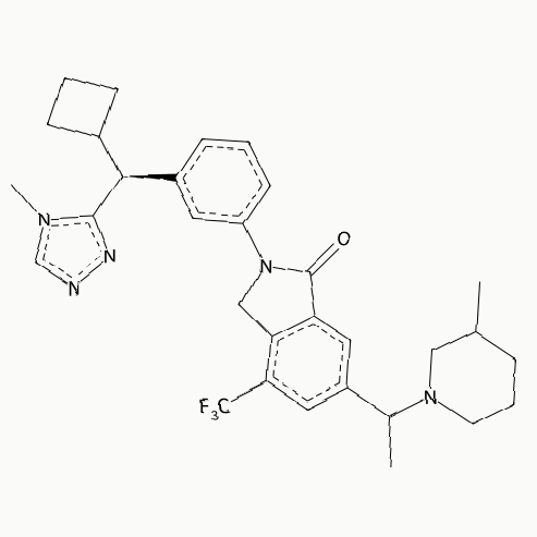 CC1CCCN(C(C)c2cc3c(c(C(F)(F)F)c2)CN(c2cccc([C@@H](c4nncn4C)C4CCC4)c2)C3=O)C1